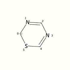 [C]1N=CN=CS1